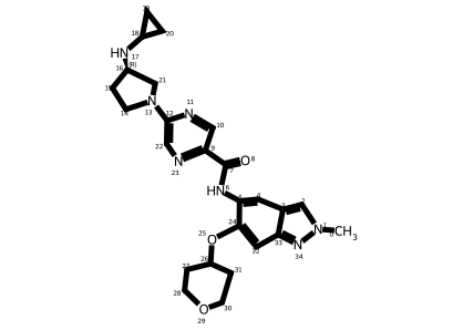 Cn1cc2cc(NC(=O)c3cnc(N4CC[C@@H](NC5CC5)C4)cn3)c(OC3CCOCC3)cc2n1